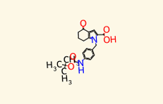 CC(C)(C)OC(=O)Nc1ccc(Cn2c(C(=O)O)cc3c2CCCC3=O)cc1